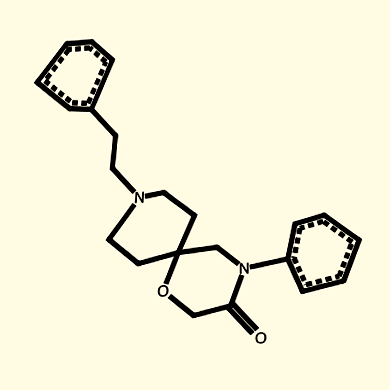 O=C1COC2(CCN(CCc3ccccc3)CC2)CN1c1ccccc1